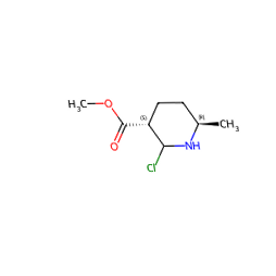 COC(=O)[C@@H]1CC[C@@H](C)NC1Cl